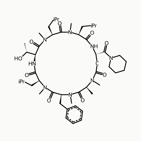 CC(C)C[C@H]1C(=O)N(C)[C@@H](CC(C)C)C(=O)N[C@H](C(=O)N2CCCCC2)CC(=O)N(C)[C@@H](C)C(=O)N(C)[C@@H](Cc2ccccc2)C(=O)N(C)[C@@H](CC(C)C)C(=O)N[C@@H]([C@@H](C)O)C(=O)N1C